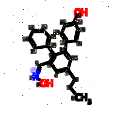 CCCc1cc(/C=N\O)c(-c2ccccc2)c(-c2ccc(O)cc2)c1